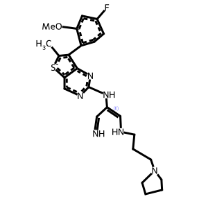 COc1cc(F)ccc1-c1c(C)sc2cnc(N/C(C=N)=C/NCCCN3CCCC3)nc12